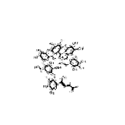 CC(=O)CC=C(O)[C@H]1O[C@H](O)[C@H](O)[C@@H](O)[C@@H]1O[C@H]1O[C@H](CO)[C@@H](O[C@H]2O[C@H](CO)[C@@H](O[C@H]3O[C@H](CO)[C@@H](O[C@H]4O[C@H](CO)[C@@H](O[C@H]5O[C@H](CO)[C@@H](O)[C@H](O)[C@H]5O)[C@H](O)[C@H]4O)[C@H](O)[C@H]3O)[C@H](O)[C@H]2O)[C@H](O)[C@H]1O